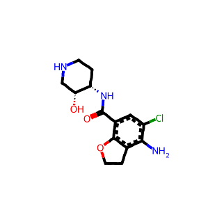 Nc1c(Cl)cc(C(=O)N[C@H]2CCNC[C@H]2O)c2c1CCO2